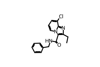 CCc1nc2c(Cl)cccn2c1C(=O)NCc1ccccc1